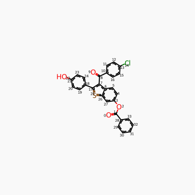 O=C(Oc1ccc2c(C(=O)c3ccc(Cl)cc3)c(-c3ccc(O)cc3)sc2c1)c1ccccc1